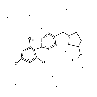 CO[C@H]1CCN(Cc2ccc(-c3c(C)cc(Cl)cc3O)nn2)C1